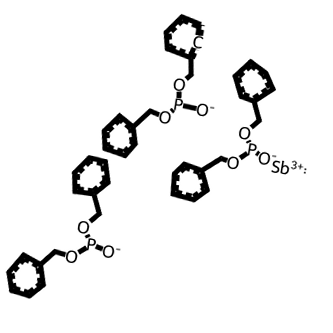 [O-]P(OCc1ccccc1)OCc1ccccc1.[O-]P(OCc1ccccc1)OCc1ccccc1.[O-]P(OCc1ccccc1)OCc1ccccc1.[Sb+3]